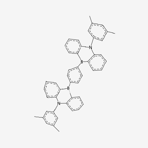 Cc1cc(C)cc(N2c3ccccc3B(c3ccc(B4c5ccccc5N(c5cc(C)cc(C)c5)c5ccccc54)cc3)c3ccccc32)c1